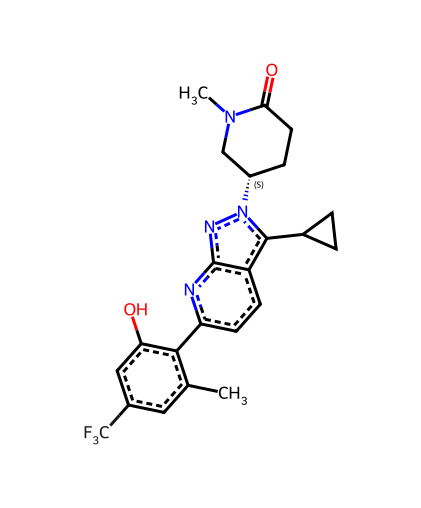 Cc1cc(C(F)(F)F)cc(O)c1-c1ccc2c(C3CC3)n([C@H]3CCC(=O)N(C)C3)nc2n1